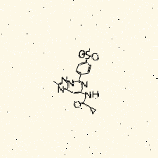 Cc1nc2cc(NC(=O)C3CC3)nc(-c3ccc(S(C)(=O)=O)cc3)n2n1